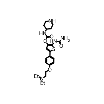 CCN(CC)CCOc1ccc(-c2cc(OC(=O)NC3CCNCC3)c(NC(N)=O)s2)cc1